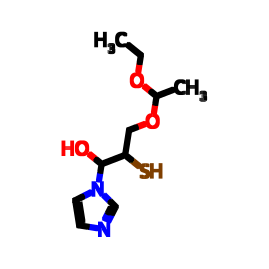 CCOC(C)OCC(S)C(O)n1ccnc1